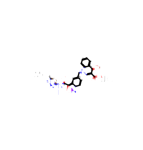 CSc1nnc(NC(=O)c2onc3ccc(Cn4cc(C(=O)OC(C)(C)C)c(=O)c5ccccc54)cc23)s1